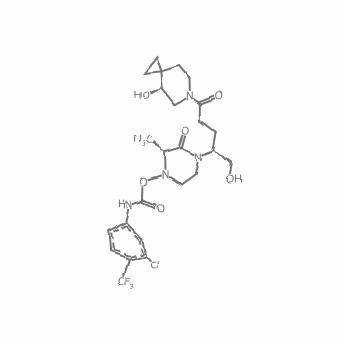 C[C@H]1C(=O)N([C@H](CO)CCC(=O)N2CCC3(CC3)[C@H](O)C2)CCN1OC(=O)Nc1ccc(C(F)(F)F)c(Cl)c1